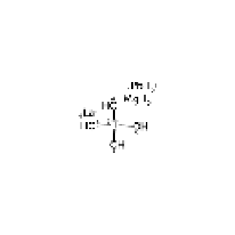 [La].[MgH2].[OH][Ti]([OH])([OH])[OH].[PbH2]